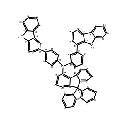 c1ccc(C2(c3ccccc3)c3ccccc3-c3c(N(c4ccc(-c5ccc6oc7ccccc7c6c5)cc4)c4cccc(-c5cccc6c5oc5ccccc56)c4)cccc32)cc1